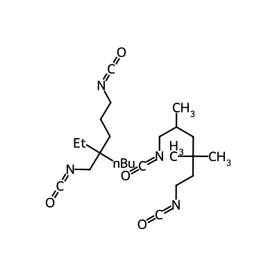 CC(CN=C=O)CC(C)(C)CCN=C=O.CCCCC(CC)(CCCN=C=O)CN=C=O